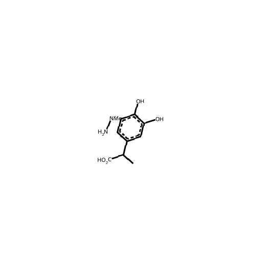 CC(C(=O)O)c1ccc(O)c(O)c1.CNN